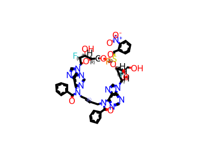 O=C(c1ccccc1)N1C/C=C/CN(C(=O)c2ccccc2)c2ncnc3c2ncn3[C@@H]2O[C@H](CO)[C@@H](O[P@@](=O)(SCc3ccccc3[N+](=O)[O-])OC[C@H]3OC([C@H](F)[C@@H]3O)n3cnc4c1ncnc43)[C@H]2F